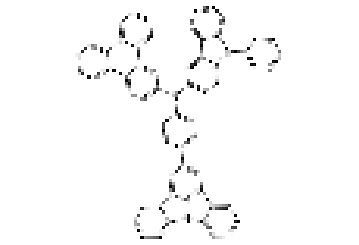 c1ccc(-n2c3ccccc3c3cc(N(c4ccc(-c5cc6c7ccccc7n7c8ccccc8c(c5)c67)cc4)c4ccc5c6ccccc6c6ccccc6c5c4)ccc32)cc1